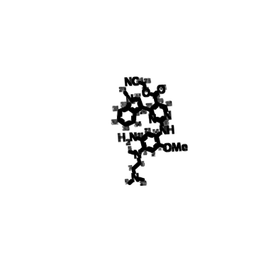 COc1cc(N(C)CCN(C)C)c(N)cc1Nc1ncc(C(=O)OCC#N)c(-c2cn(C)c3ccccc23)n1